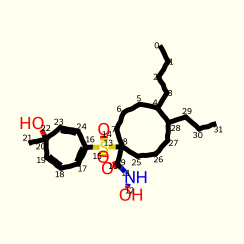 CCCCC1CCCC(C(=O)NO)(S(=O)(=O)C2=CC=CC(C)(O)C=C2)CCCC1CCC